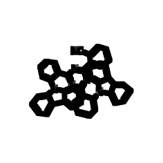 N#Cc1ccccc1-c1nc(-c2ccccc2-n2c3ccccc3c3ccccc32)nc(-c2ccccc2-n2c3ccccc3c3ccccc32)n1